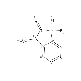 CCC1(CC)C(=O)N(C(=O)O)c2ccccc21